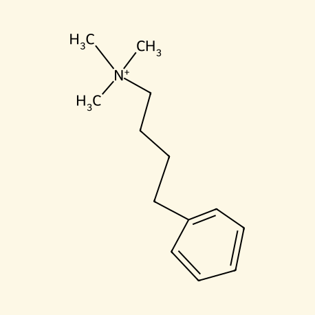 C[N+](C)(C)CCCCc1ccccc1